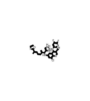 C=C(/C=C\C=C(/C)c1ncco1)[C@H](Nc1cc(Cl)c2ncc(C#N)c(Nc3cnc(F)c(F)c3)c2c1)C1=CNNN1